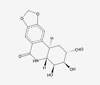 O=C[C@H]1C[C@@H]2c3cc4c(cc3C(=O)N[C@H]2[C@H](O)[C@@H]1O)OCO4